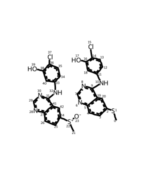 CSc1ccc2ncnc(Nc3ccc(Cl)c(O)c3)c2c1.C[S+]([O-])c1ccc2ncnc(Nc3ccc(Cl)c(O)c3)c2c1